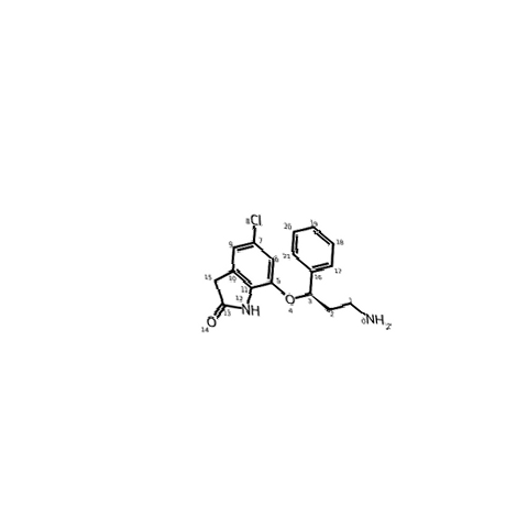 NCC[C@@H](Oc1cc(Cl)cc2c1NC(=O)C2)c1ccccc1